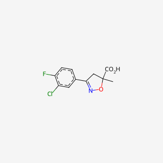 CC1(C(=O)O)CC(c2ccc(F)c(Cl)c2)=NO1